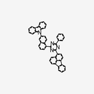 c1ccc(-c2nc(-c3cccc4cc(-n5c6ccccc6c6ccccc65)ccc34)nc(-c3ccc4c5c(cccc35)-c3ccccc3-4)n2)cc1